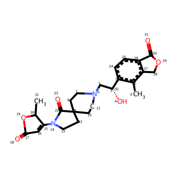 Cc1c([C@H](O)CN2CCC3(CC2)CCN(C2=CC(=O)OC2C)C3=O)ccc2c1COC2=O